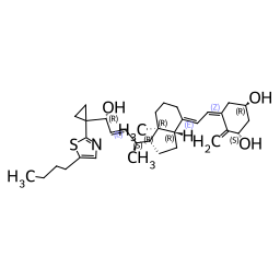 C=C1/C(=C\C=C2/CCC[C@]3(C)[C@@H]([C@@H](C)/C=C/[C@@H](O)C4(c5ncc(CCCC)s5)CC4)CC[C@@H]23)C[C@@H](O)C[C@@H]1O